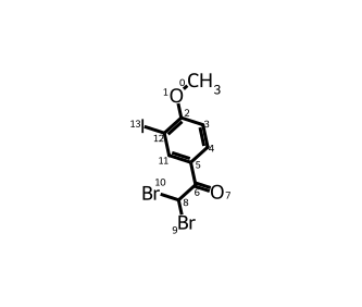 COc1ccc(C(=O)C(Br)Br)cc1I